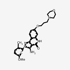 COc1ccc(C)c(-n2nc3c(c2N)c(=O)[nH]c2cc(OCCCN4CCOCC4)ccc23)c1